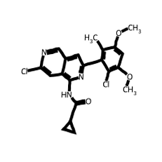 COc1cc(OC)c(Cl)c(-c2cc3cnc(Cl)cc3c(NC(=O)C3CC3)n2)c1C